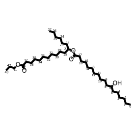 CCCCCCC(O)CCCCCCCCCCC(=O)OC(CCCCCC)CCCCCCCCCCC(=O)OCCC